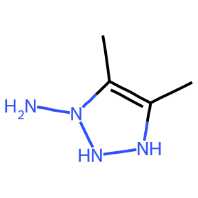 CC1=C(C)N(N)NN1